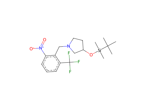 CC(C)(C)[Si](C)(C)OC1CCN(Cc2c([N+](=O)[O-])cccc2C(F)(F)F)C1